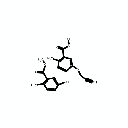 C#CCOc1ccc(C)c(C(=O)OC)c1.COC(=O)c1cc(O)ccc1C